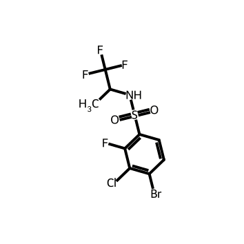 CC(NS(=O)(=O)c1ccc(Br)c(Cl)c1F)C(F)(F)F